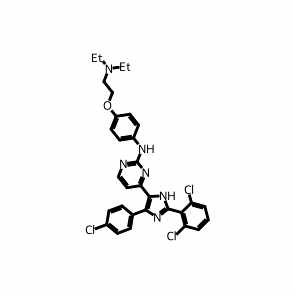 CCN(CC)CCOc1ccc(Nc2nccc(-c3[nH]c(-c4c(Cl)cccc4Cl)nc3-c3ccc(Cl)cc3)n2)cc1